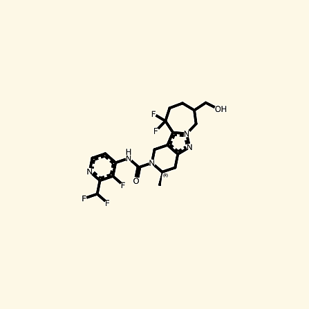 C[C@@H]1Cc2nn3c(c2CN1C(=O)Nc1ccnc(C(F)F)c1F)C(F)(F)CCC(CO)C3